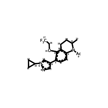 CC(=O)N1c2ccc(-c3cnn(C4CC4)c3)c(OCC(F)(F)F)c2CCC1C